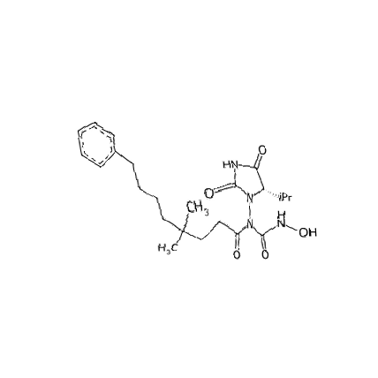 CC(C)[C@H]1C(=O)NC(=O)N1N(C(=O)CCC(C)(C)CCCCc1ccccc1)C(=O)NO